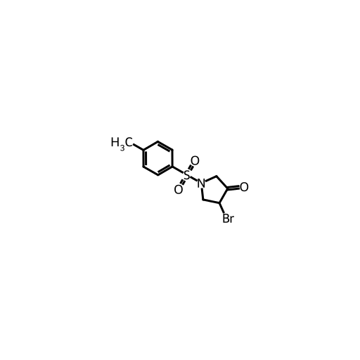 Cc1ccc(S(=O)(=O)N2CC(=O)C(Br)C2)cc1